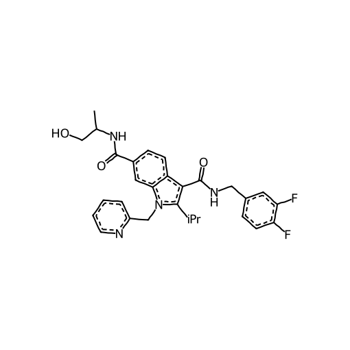 CC(CO)NC(=O)c1ccc2c(C(=O)NCc3ccc(F)c(F)c3)c(C(C)C)n(Cc3ccccn3)c2c1